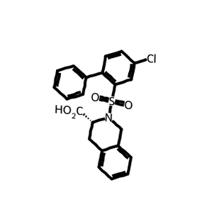 O=C(O)[C@H]1Cc2ccccc2CN1S(=O)(=O)c1cc(Cl)ccc1-c1ccccc1